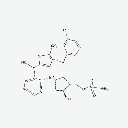 Cc1sc(C(O)c2cncnc2N[C@@H]2C[C@H](COS(N)(=O)=O)[C@@H](O)C2)cc1Cc1cccc(Cl)c1